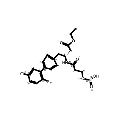 CCOC(=O)C[C@@H](Cc1ccc(-c2cc(Cl)ccc2F)cc1)NC(=O)CCO[PH](=O)O